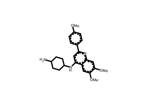 COc1ccc(-c2cc(NC3CCC(N)CC3)c3cc(OC)c(OC)cc3n2)cc1